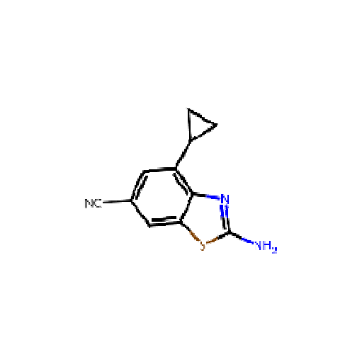 N#Cc1cc(C2CC2)c2nc(N)sc2c1